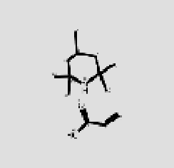 C=CC(=O)O.CC1CC(C)(C)NC(C)(C)C1